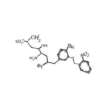 CC(CC(O)C(N)CC(Cc1ccc(C(C)(C)C)c(OCc2ccccc2[N+](=O)[O-])c1)C(C)C)C(=O)O